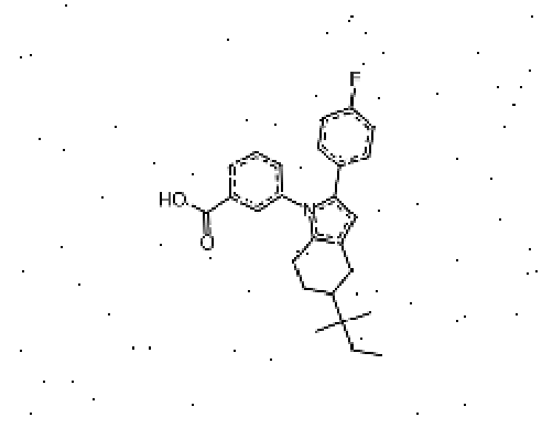 CCC(C)(C)C1CCc2c(cc(-c3ccc(F)cc3)n2-c2cccc(C(=O)O)c2)C1